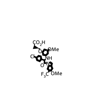 COc1cc(NC(C(=O)n2ccc3cc(OC)c(C(F)(F)F)cc32)c2ccc(Cl)cc2)cc(OC[C@@H]2C[C@H]2C(=O)O)c1